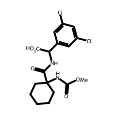 COC(=O)NC1(C(=O)NC(C(=O)O)c2cc(Cl)cc(Cl)c2)CCCCC1